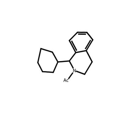 [CH2]C(=O)N1CCc2ccccc2C1C1CCCCC1